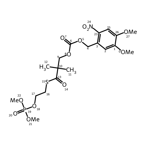 COc1cc(COC(=O)OCC(C)(C)C(=O)SCCOP(=O)(OC)OC)c([N+](=O)[O-])cc1OC